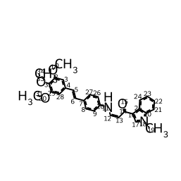 COc1cc(C=Cc2ccc(N/C=C\C(=O)c3cn(C)c4ccccc34)cc2)cc(OC)c1OC